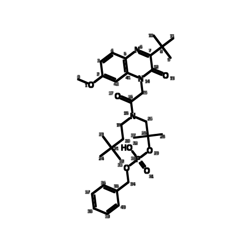 COc1ccc2nc(C(C)(C)C)c(=O)n(CC(=O)N(CCC(C)(C)C)CC(C)(C)OP(=O)(O)OCc3ccccc3)c2c1